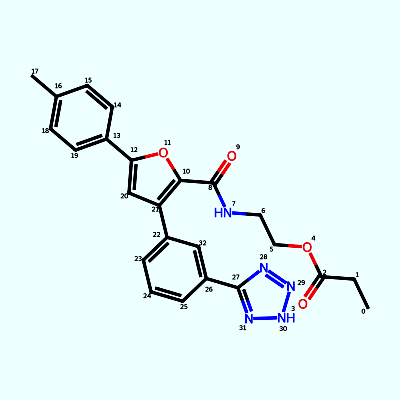 CCC(=O)OCCNC(=O)c1oc(-c2ccc(C)cc2)cc1-c1cccc(-c2nn[nH]n2)c1